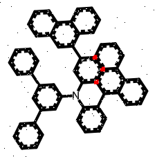 c1ccc(-c2cc(-c3ccccc3)cc(N(c3cccc(-c4cc5ccccc5c5ccccc45)c3)c3ccccc3-c3cc4ccccc4c4ccccc34)c2)cc1